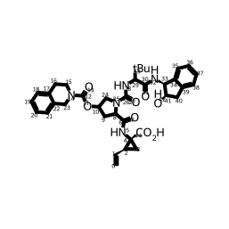 C=C[C@@H]1C[C@]1(NC(=O)C1CC(OC(=O)N2CCc3ccccc3C2)CN1C(=O)NC(C(=O)N[C@H]1c2ccccc2C[C@H]1O)C(C)(C)C)C(=O)O